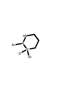 CC(=O)N1NCCC[N+]1([O-])C(C)=O